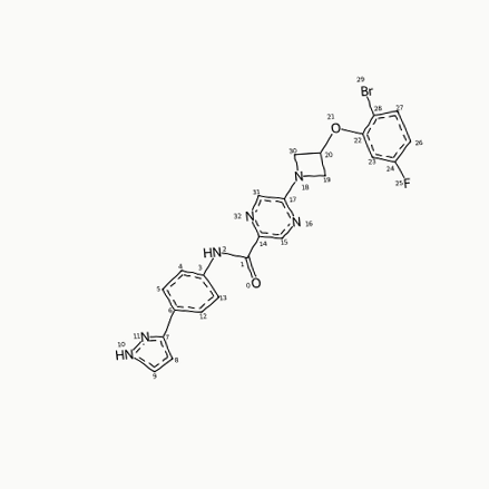 O=C(Nc1ccc(-c2cc[nH]n2)cc1)c1cnc(N2CC(Oc3cc(F)ccc3Br)C2)cn1